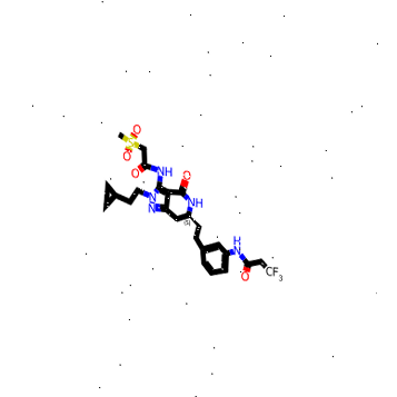 CS(=O)(=O)CC(=O)Nc1c2c(nn1CCC1CC1)C[C@H](CCc1cccc(NC(=O)CC(F)(F)F)c1)NC2=O